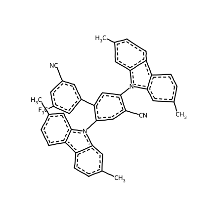 Cc1ccc2c3ccc(C)cc3n(-c3cc(-c4cc(C#N)cc(C(F)(F)F)c4)c(-n4c5cc(C)ccc5c5ccc(C)cc54)cc3C#N)c2c1